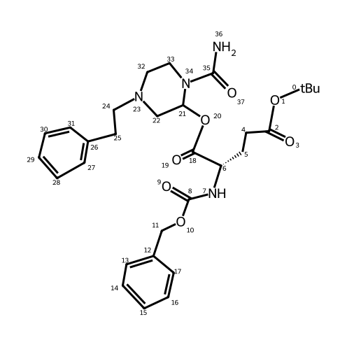 CC(C)(C)OC(=O)CC[C@H](NC(=O)OCc1ccccc1)C(=O)OC1CN(CCc2ccccc2)CCN1C(N)=O